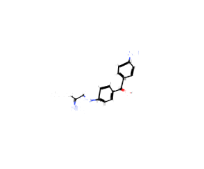 Nc1ccc(C(=O)c2ccc(NCC(N)C(=O)O)cc2)cc1